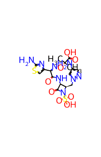 CC(C)(ON=C(C(=O)N[C@@H]1C(=O)N(S(=O)(=O)O)[C@@H]1Cn1cc(N)cn1)c1csc(N)n1)C(=O)O